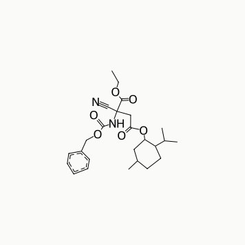 CCOC(=O)C(C#N)(CC(=O)OC1CC(C)CCC1C(C)C)NC(=O)OCc1ccccc1